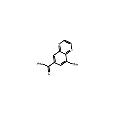 COC(=O)c1cc(OC)c2nccnc2c1